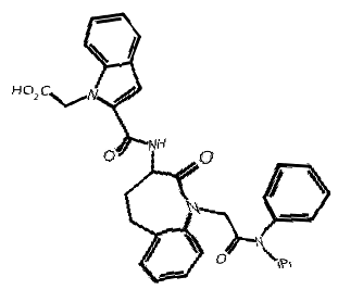 CC(C)N(C(=O)CN1C(=O)C(NC(=O)c2cc3ccccc3n2CC(=O)O)CCc2ccccc21)c1ccccc1